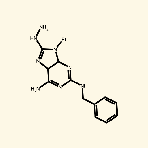 CCN1C(NN)=NC2C(N)=NC(NCc3ccccc3)=NC21